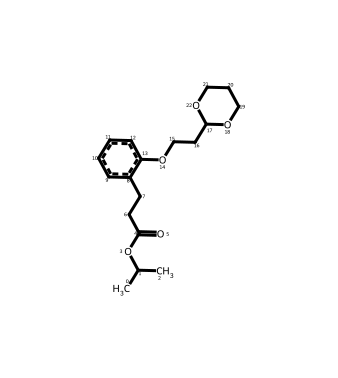 CC(C)OC(=O)CCc1ccccc1OCCC1OCCCO1